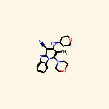 Cc1c(NC2CCOCC2)c(C#N)c2nc3ccccc3n2c1N1CCOCC1